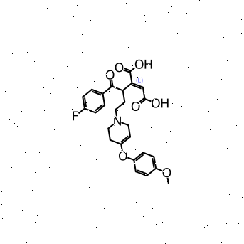 COc1ccc(OC2=CCN(CCC(C(=O)c3ccc(F)cc3)/C(=C\C(=O)O)C(=O)O)CC2)cc1